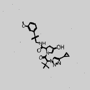 COc1cccc(C(C)(C)CNC(=O)C2CC(O)CN2C(=O)[C@@H](n2cc(C3CC3)nn2)C(C)(C)C)c1